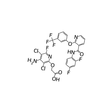 Nc1c(Cl)c(F)nc(OCC(=O)O)c1Cl.O=C(Nc1ccc(F)cc1F)c1cccnc1Oc1cccc(C(F)(F)F)c1